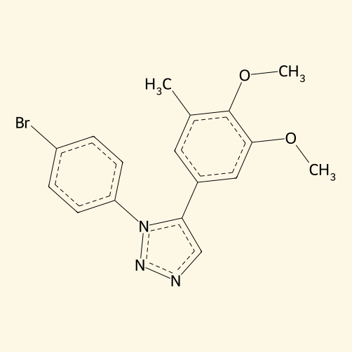 COc1cc(-c2cnnn2-c2ccc(Br)cc2)cc(C)c1OC